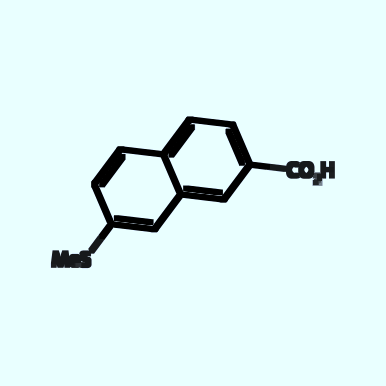 CSc1ccc2ccc(C(=O)O)cc2c1